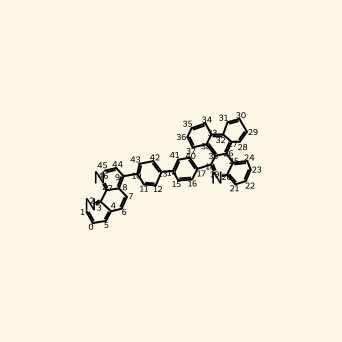 c1cnc2c(c1)ccc1c(-c3ccc(-c4ccc(-c5nc6ccccc6c6c7ccccc7c7ccccc7c56)cc4)cc3)ccnc12